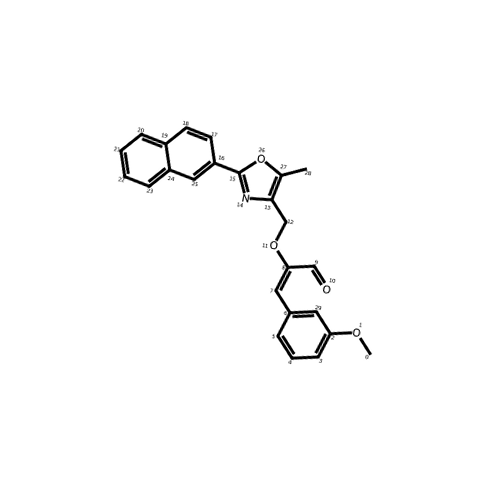 COc1cccc(C=C(C=O)OCc2nc(-c3ccc4ccccc4c3)oc2C)c1